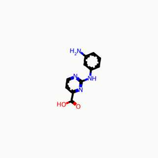 Nc1cccc(Nc2nccc(C(=O)O)n2)c1